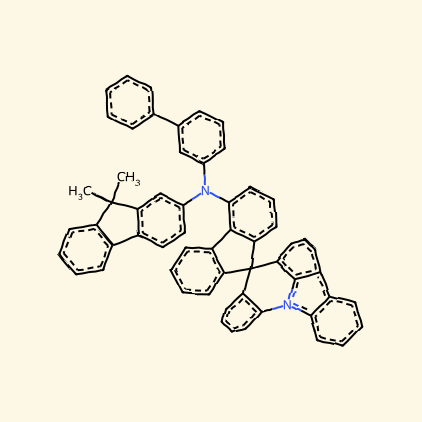 CC1(C)c2ccccc2-c2ccc(N(c3cccc(-c4ccccc4)c3)c3cccc4c3-c3ccccc3C43c4ccccc4-n4c5ccccc5c5cccc3c54)cc21